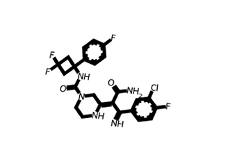 N=C(/C(C(N)=O)=C1/CN(C(=O)NC2(c3ccc(F)cc3)CC(F)(F)C2)CCN1)c1ccc(F)c(Cl)c1